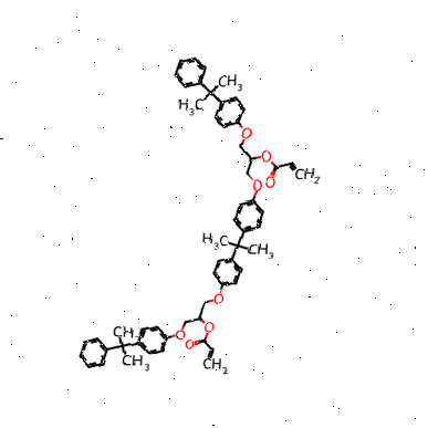 C=CC(=O)OC(COc1ccc(C(C)(C)c2ccccc2)cc1)COc1ccc(C(C)(C)c2ccc(OCC(COc3ccc(C(C)(C)c4ccccc4)cc3)OC(=O)C=C)cc2)cc1